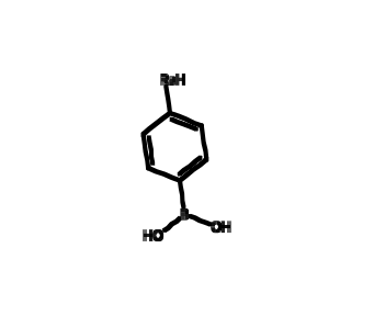 OB(O)c1cc[c]([RaH])cc1